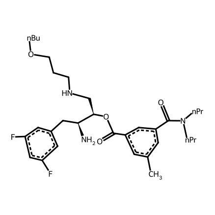 CCCCOCCCNC[C@@H](OC(=O)c1cc(C)cc(C(=O)N(CCC)CCC)c1)[C@@H](N)Cc1cc(F)cc(F)c1